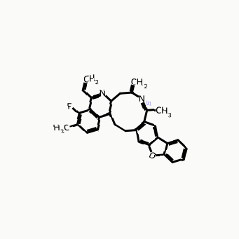 C=CC1=NC2CC(=C)/N=C(/C)c3cc4c(cc3CCC2c2ccc(C)c(F)c21)oc1ccccc14